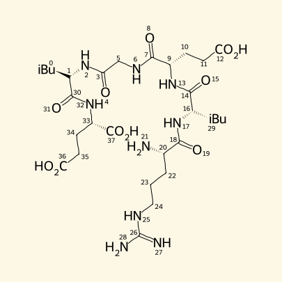 CC[C@H](C)[C@H](NC(=O)CNC(=O)[C@H](CCC(=O)O)NC(=O)[C@@H](NC(=O)[C@@H](N)CCCNC(=N)N)[C@@H](C)CC)C(=O)N[C@@H](CCC(=O)O)C(=O)O